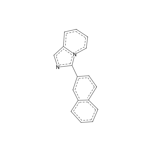 c1ccc2cc(-c3ncc4ccccn34)ccc2c1